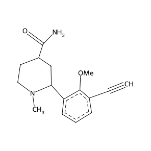 C#Cc1cccc(C2CC(C(N)=O)CCN2C)c1OC